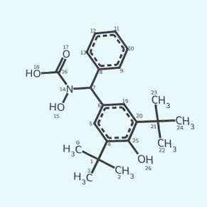 CC(C)(C)c1cc(C(c2ccccc2)N(O)C(=O)O)cc(C(C)(C)C)c1O